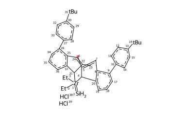 C[CH2][Zr](=[SiH2])([CH2]C)([CH]1C(C)=Cc2c(-c3ccc(C(C)(C)C)cc3)cccc21)[CH]1C(C)=Cc2c(-c3ccc(C(C)(C)C)cc3)cccc21.Cl.Cl